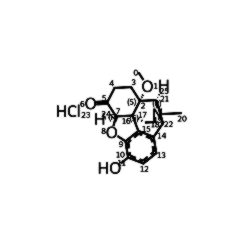 CO[C@@]12CCC(=O)[C@@H]3Oc4c(O)ccc5c4[C@@]31CCN(C)[C@@H]2C5.Cl